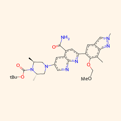 COCOc1c(-c2cc(C(N)=O)c3cc(N4C[C@H](C)N(C(=O)OC(C)(C)C)[C@@H](C)C4)cnc3n2)cc2cn(C)nc2c1C